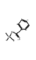 C[Si](C)(C)OC(=S)c1ccccc1